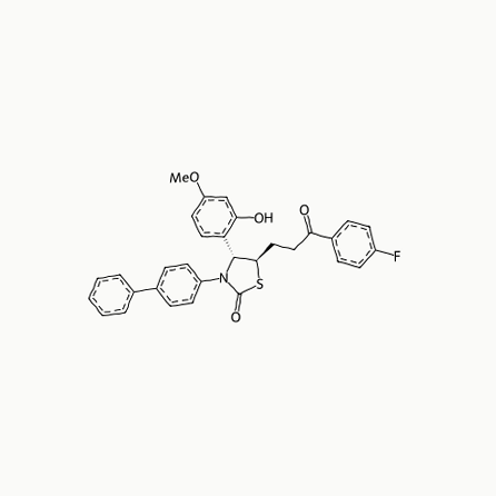 COc1ccc([C@@H]2[C@@H](CCC(=O)c3ccc(F)cc3)SC(=O)N2c2ccc(-c3ccccc3)cc2)c(O)c1